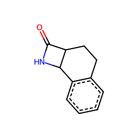 O=C1NC2c3ccccc3CCC12